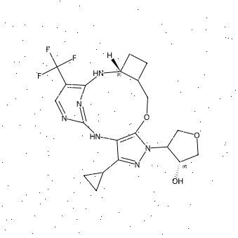 O[C@H]1COCC1n1nc(C2CC2)c2c1OCC1CC[C@H]1Nc1nc(ncc1C(F)(F)F)N2